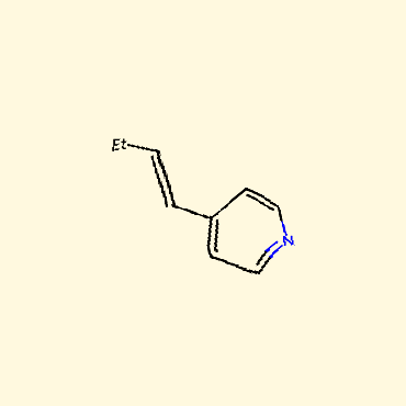 [CH2]C/C=C/c1ccncc1